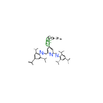 CC(C)c1cc(C(C)C)c(N=Cc2cccc(C=Nc3c(C(C)C)cc(C(C)C)cc3C(C)C)n2)c(C(C)C)c1.[Cl-].[Cl-].[Cl-].[Co+3]